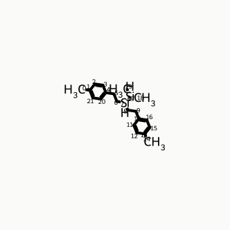 Cc1ccc(CC[SiH](CCc2ccc(C)cc2)[SiH](C)C)cc1